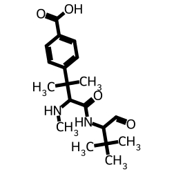 CNC(C(=O)NC(C=O)C(C)(C)C)C(C)(C)c1ccc(C(=O)O)cc1